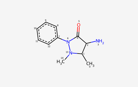 CC1C(N)C(=O)N(c2ccccc2)N1C